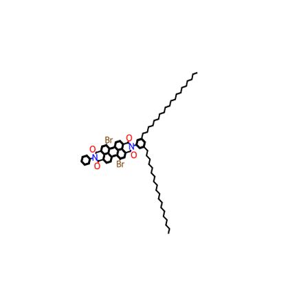 CCCCCCCCCCCCCCCCCCCCc1cc(CCCCCCCCCCCCCCCCCCCC)cc(N2C(=O)c3ccc4c5c(Br)cc6c7c(ccc(c8c(Br)cc(c3c48)C2=O)c75)C(=O)N(c2ccccc2)C6=O)c1